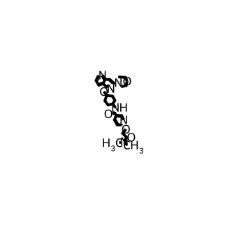 CN(C)C(=O)COc1ccc(C(=O)NC2CCC(Oc3nc(N4CCOCC4)cc4ncccc34)CC2)cn1